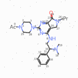 CC(=O)N1CCN(c2nc(NCC(c3ccccc3)N(C)C)c3c(n2)C(=O)N(C(C)C)C3)CC1